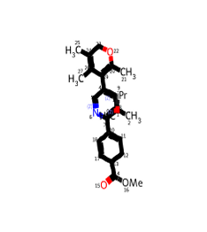 C=C(C)\C=C(/C=N\C(=C/C(C)C)C1=CCC(C(=O)OC)C=C1)C1=C(C)OCC(C)=C1C